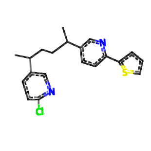 CC(CCC(C)c1ccc(-c2cccs2)nc1)c1ccc(Cl)nc1